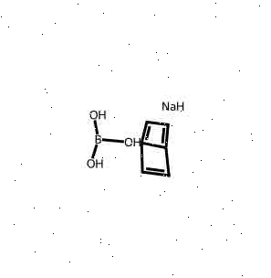 OB(O)O.[NaH].c1cc2ccc1-2